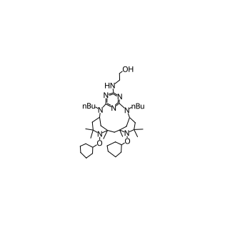 CCCCN1c2nc(NCCO)nc(n2)N(CCCC)C2CC(C)(C)N(OC3CCCCC3)C(C)(C2)CC2(C)CC1CC(C)(C)N2OC1CCCCC1